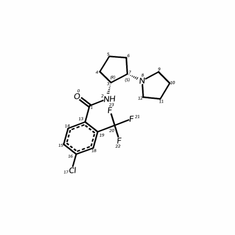 O=C(N[C@@H]1CCC[C@@H]1N1CCCC1)c1ccc(Cl)cc1C(F)(F)F